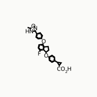 CC1NC(c2ccc(Oc3ccc(F)c4c3CCC4Oc3ccc(C4C[C@@H]4C(=O)O)cc3)cc2)=NO1